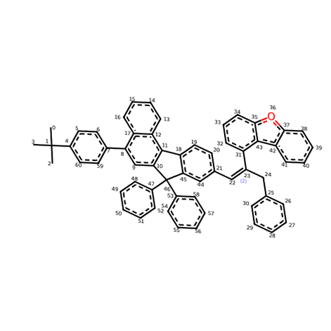 CC(C)(C)c1ccc(-c2cc3c(c4ccccc24)-c2ccc(/C=C(/Cc4ccccc4)c4cccc5oc6ccccc6c45)cc2C3(c2ccccc2)c2ccccc2)cc1